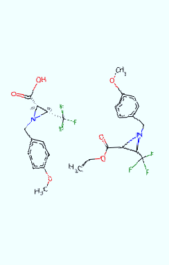 CCOC(=O)C1C(C(F)(F)F)N1Cc1ccc(OC)cc1.COc1ccc(CN2[C@H](C(=O)O)[C@@H]2C(F)(F)F)cc1